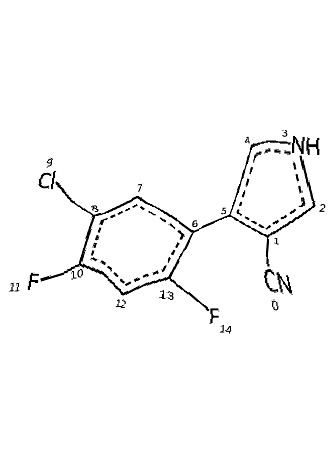 N#Cc1c[nH]cc1-c1cc(Cl)c(F)cc1F